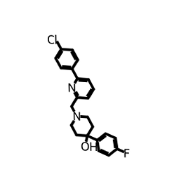 OC1(c2ccc(F)cc2)CCN(Cc2cccc(-c3ccc(Cl)cc3)n2)CC1